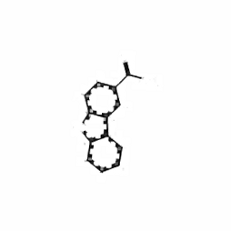 CC(=O)c1ccc2sc3ccccc3c2c1